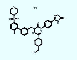 Cc1ccc(S(=O)(=O)N2CCOCC2)cc1-c1cccc(C[C@H](NC(=O)[C@H]2CC[C@H](CN)CC2)C(=O)Nc2ccc(-c3noc(=O)[nH]3)cc2)c1.Cl